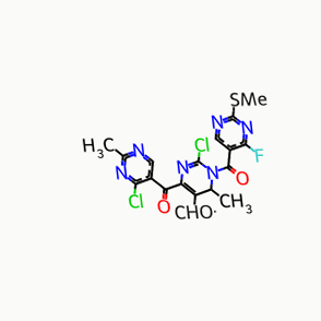 CSc1ncc(C(=O)N2C(Cl)=NC(C(=O)c3cnc(C)nc3Cl)=C([C]=O)C2C)c(F)n1